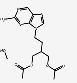 CC(=O)OCC(CCn1cnc2cnc(N)nc21)COC(C)=O.CO